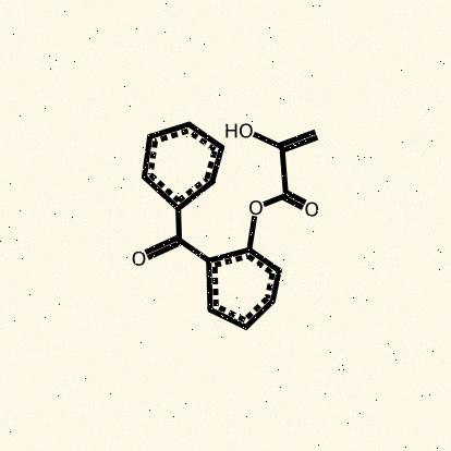 C=C(O)C(=O)Oc1ccccc1C(=O)c1ccccc1